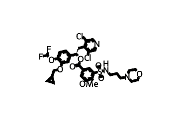 COc1ccc(C(=O)O[C@@H](Cc2c(Cl)cncc2Cl)c2ccc(OC(F)F)c(OCC3CC3)c2)cc1S(=O)(=O)NCCCN1CCOCC1